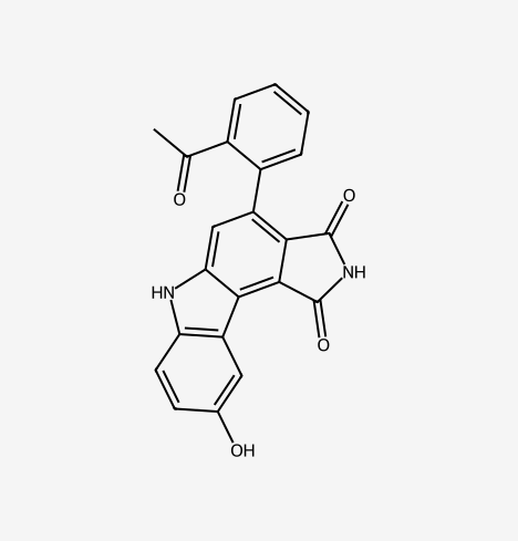 CC(=O)c1ccccc1-c1cc2[nH]c3ccc(O)cc3c2c2c1C(=O)NC2=O